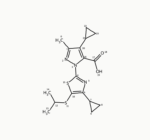 Cc1nn(-c2nc(C3CC3)c(SC(C)C)s2)c(C(=O)O)c1C1CC1